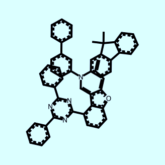 C=C/C=c1/oc2cccc(-c3nc(-c4ccccc4)nc(-c4ccccc4)n3)c2/c1=C/N(c1cccc(-c2ccccc2)c1)c1ccc2c(c1)C(C)(C)c1ccccc1-2